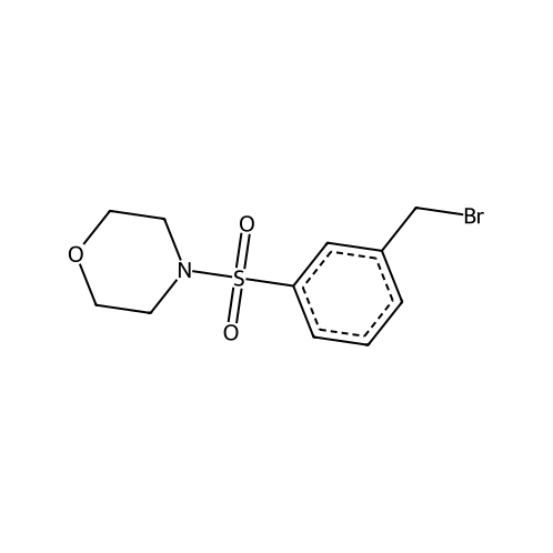 O=S(=O)(c1cccc(CBr)c1)N1CCOCC1